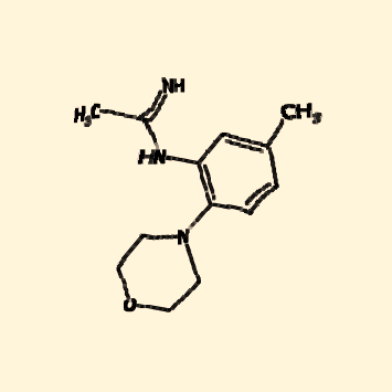 CC(=N)Nc1cc(C)ccc1N1CCOCC1